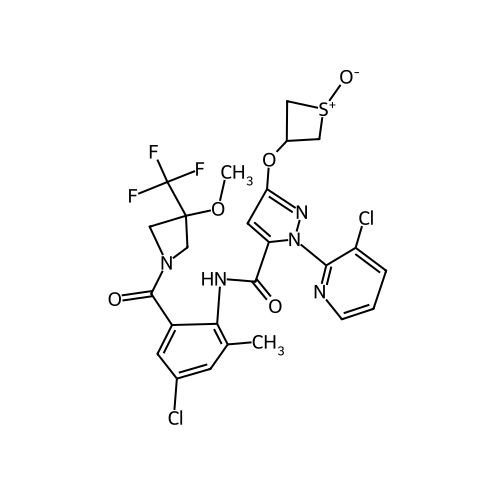 COC1(C(F)(F)F)CN(C(=O)c2cc(Cl)cc(C)c2NC(=O)c2cc(OC3C[S+]([O-])C3)nn2-c2ncccc2Cl)C1